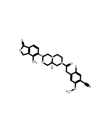 COc1cc(CC(=O)N2CCN3C[C@H](c4ccc5c(c4C)COC5=O)OC[C@@H]3C2)c(F)cc1C#N